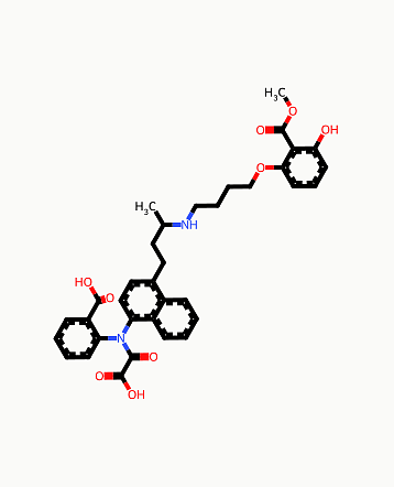 COC(=O)c1c(O)cccc1OCCCCNC(C)CCc1ccc(N(C(=O)C(=O)O)c2ccccc2C(=O)O)c2ccccc12